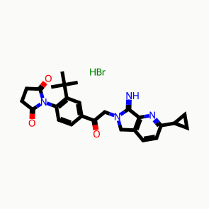 Br.CC(C)(C)c1cc(C(=O)CN2Cc3ccc(C4CC4)nc3C2=N)ccc1N1C(=O)CCC1=O